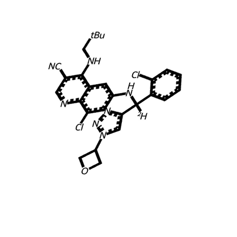 [2H]C(Nc1cc(Cl)c2ncc(C#N)c(NCC(C)(C)C)c2c1)(c1cn(C2COC2)nn1)c1ccccc1Cl